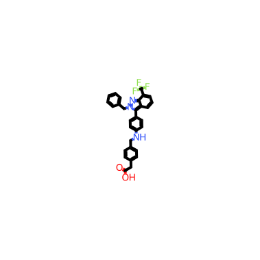 O=C(O)Cc1ccc(CNc2ccc(-c3c4cccc(C(F)(F)F)c4nn3Cc3ccccc3)cc2)cc1